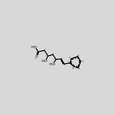 O=C(O)CC(O)CC(O)C=Cc1ccccc1